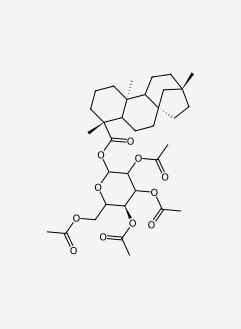 CC(=O)OCC1OC(OC(=O)[C@]2(C)CCC[C@@]3(C)C4CC[C@]5(C)CC[C@@]4(CCC32)C5)C(OC(C)=O)C(OC(C)=O)[C@H]1OC(C)=O